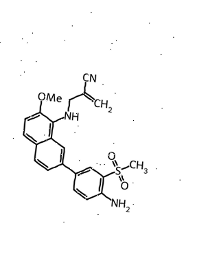 C=C(C#N)CNc1c(OC)ccc2ccc(-c3ccc(N)c(S(C)(=O)=O)c3)cc12